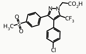 CS(=O)(=O)c1ccc(-c2nn(CC(=O)O)c(C(F)(F)F)c2-c2ccc(Cl)cc2)cc1